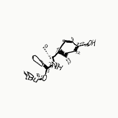 C[C@@H](NC(=O)OC(C)(C)C)c1ccc(O)cc1